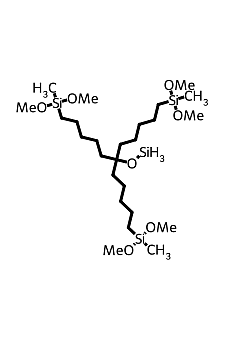 CO[Si](C)(CCCCCC(CCCCC[Si](C)(OC)OC)(CCCCC[Si](C)(OC)OC)O[SiH3])OC